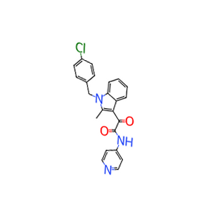 Cc1c(C(=O)C(=O)Nc2ccncc2)c2ccccc2n1Cc1ccc(Cl)cc1